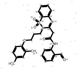 Cc1ccc(OCCCN2C(CC(=O)Nc3ccccc3C=O)=Nc3ccccc3S2(=O)=O)c(C)c1